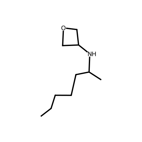 CCCCCC(C)NC1COC1